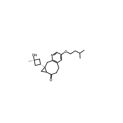 CC(C)CCOc1cnc2c(c1)CCC(=O)C1CC1([C@H]1C[C@](C)(O)C1)C2